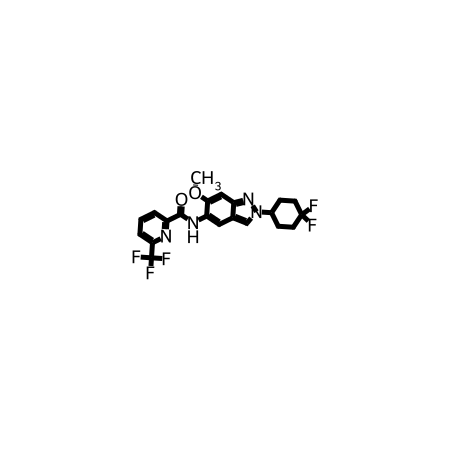 COc1cc2nn(C3CCC(F)(F)CC3)cc2cc1NC(=O)c1cccc(C(F)(F)F)n1